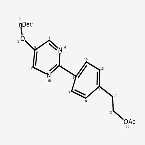 CCCCCCCCCCOc1cnc(-c2ccc(CCOC(C)=O)cc2)nc1